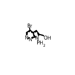 OCc1cc2c(Br)cnnc2n1P